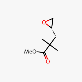 COC(=O)C(C)(C)C[C@H]1CO1